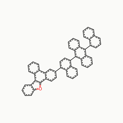 c1ccc2c(-c3c4ccccc4c(-c4ccc(-c5ccc6c(c5)c5ccccc5c5c7ccccc7oc65)c5ccccc45)c4ccccc34)cccc2c1